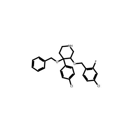 Fc1cc(Cl)ccc1COC1CNCCC1(OCc1ccccc1)c1ccc(Cl)cc1